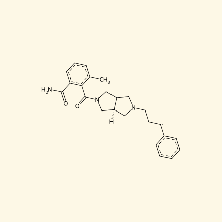 Cc1cccc(C(N)=O)c1C(=O)N1CC2CN(CC[CH]c3ccccc3)C[C@H]2C1